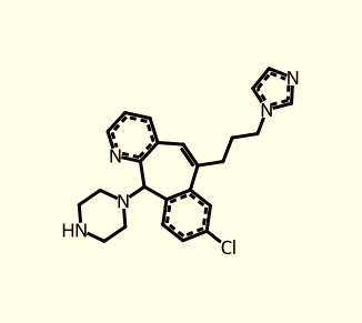 Clc1ccc2c(c1)C(CCCn1ccnc1)=Cc1cccnc1C2N1CCNCC1